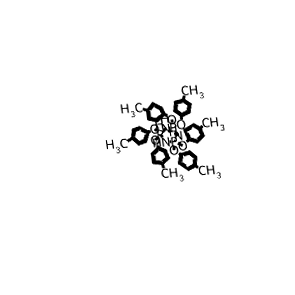 Cc1ccc(OP2(Oc3ccc(C)cc3)=N[PH](Oc3ccc(C)cc3)(Oc3ccc(C)cc3)N[PH](Oc3ccc(C)cc3)(Oc3ccc(C)cc3)N2)cc1